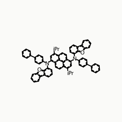 CC(C)c1cc(N(c2ccc(-c3ccccc3)cc2)c2cccc3c2oc2ccccc23)c2ccc3c(C(C)C)cc(N(c4ccc(-c5ccccc5)cc4)c4cccc5c4oc4ccccc45)c4ccc1c2c34